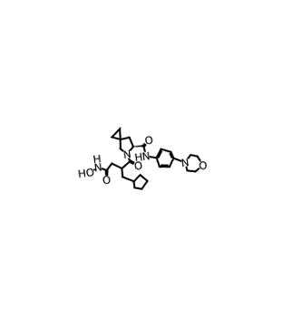 O=C(CC(CC1CCCC1)C(=O)N1CC2(CC2)C[C@H]1C(=O)Nc1ccc(N2CCOCC2)cc1)NO